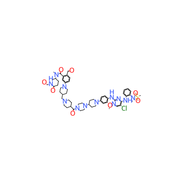 COc1cc(N2CCC(N3CCN(C(=O)C4CCN(CC5CCN(c6ccc(C=O)c(C(=O)N(C)C(C)CCC(=O)NC=O)c6)CC5)CC4)CC3)CC2)ccc1Nc1ncc(Cl)c(Nc2ccccc2N(C)S(C)(=O)=O)n1